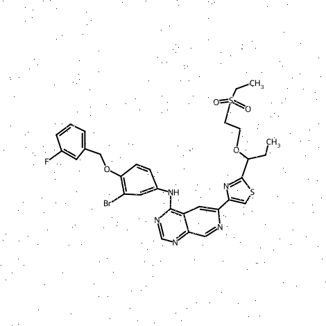 CCC(OCCS(=O)(=O)CC)c1nc(-c2cc3c(Nc4ccc(OCc5cccc(F)c5)c(Br)c4)ncnc3cn2)cs1